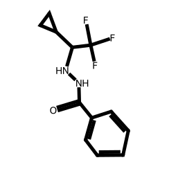 O=C(NNC(C1CC1)C(F)(F)F)c1ccccc1